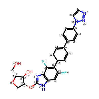 OC[C@H]1OC[C@@H](Oc2nc3c(F)c(C4C=CC(c5ccc(-n6ccnn6)cc5)=CC4)c(F)cc3[nH]2)[C@@H]1O